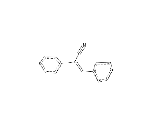 N#CC(=Cc1[c]cccc1)c1ccccc1